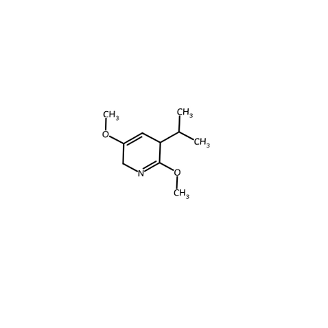 COC1=CC(C(C)C)C(OC)=NC1